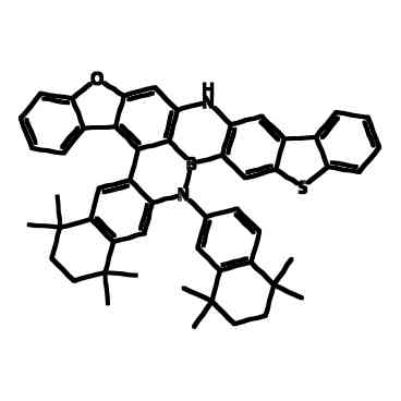 CC1(C)CCC(C)(C)c2cc(N3B4c5cc6sc7ccccc7c6cc5Nc5cc6oc7ccccc7c6c(c54)-c4cc5c(cc43)C(C)(C)CCC5(C)C)ccc21